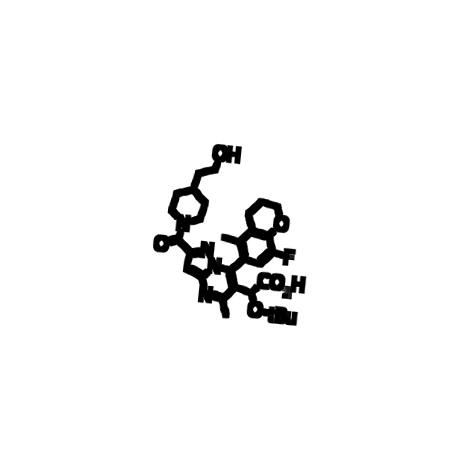 Cc1nc2cc(C(=O)N3CCC(CCO)CC3)nn2c(-c2cc(F)c3c(c2C)CCCO3)c1[C@H](OC(C)(C)C)C(=O)O